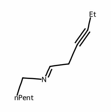 CCC#CCC=NCCCCCC